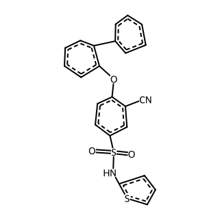 N#Cc1cc(S(=O)(=O)Nc2cccs2)ccc1Oc1ccccc1-c1ccccc1